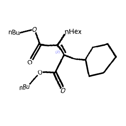 CCCCCC/C(C(=O)OCCCC)=C(/C(=O)OCCCC)C1CCCCC1